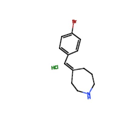 Brc1ccc(C=C2CCCNCC2)cc1.Cl